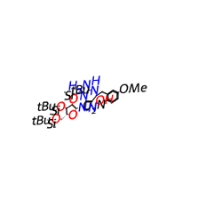 COc1ccc([N+](=O)[O-])c(CC2(O)NC(N)=Nc3c2ncn3[C@@H]2O[C@H](CO[Si](C)(C)C(C)(C)C)[C@@H](O[Si](C)(C)C(C)(C)C)[C@H]2O[Si](C)(C)C(C)(C)C)c1